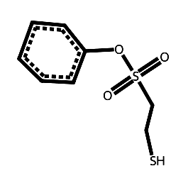 O=S(=O)(CCS)Oc1ccccc1